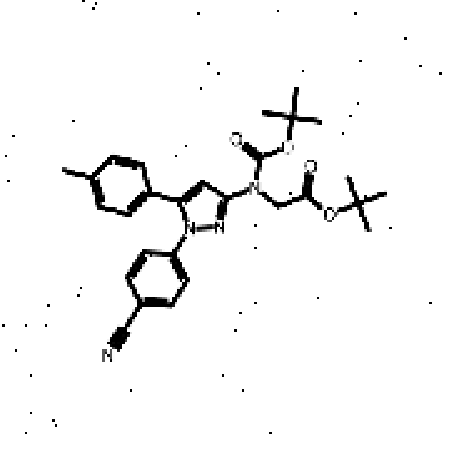 Cc1ccc(-c2cc(N(CC(=O)OC(C)(C)C)C(=O)OC(C)(C)C)nn2-c2ccc(C#N)cc2)cc1